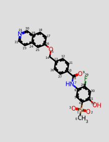 CS(=O)(=O)c1cc(NC(=O)c2ccc(COc3ccc4cnccc4c3)cc2)c(F)cc1O